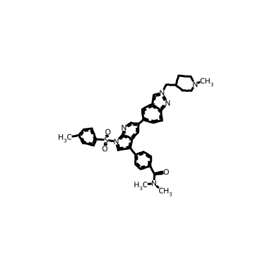 Cc1ccc(S(=O)(=O)n2cc(-c3ccc(C(=O)N(C)C)cc3)c3cc(-c4ccc5nn(CC6CCN(C)CC6)cc5c4)cnc32)cc1